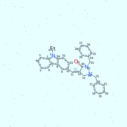 CCn1c2ccccc2c2cc(/C=C3/CN(Cc4ccccc4)N(Cc4ccccc4)C3=O)ccc21